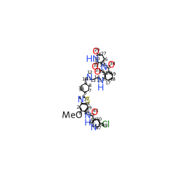 COc1cc2nc([C@H]3CC[C@H](CN(C)CCNc4cccc5c4C(=O)N(C4CCC(=O)NC4=O)C5=O)CC3)sc2cc1NC(=O)c1cncc(Cl)c1